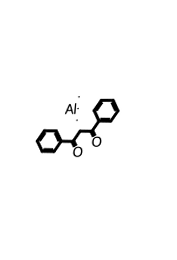 O=C(CC(=O)c1ccccc1)c1ccccc1.[Al]